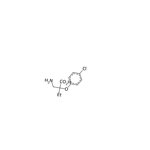 CCC(CN)(Oc1ccc(Cl)cc1)C(=O)O